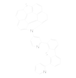 C1=CC2Sc3ccc4c5c3c2c2c1ccc1c2c5c(n1-c1ccnc(-c2cccc3c2sc2c(-c5ccccn5)cccc23)c1)=CC4